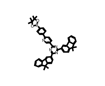 CC1(C)c2ccccc2-c2cc(-c3nc(-c4ccc(-c5ccc(B6OC(C)(C)C(C)(C)O6)cc5)nc4)nc(-c4ccc5c(c4)-c4ccccc4C5(C)C)n3)ccc21